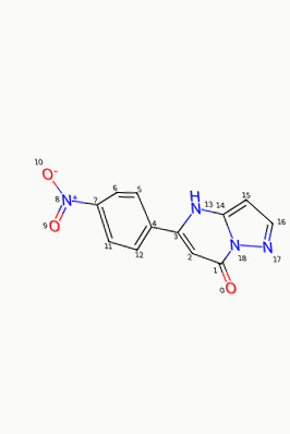 O=c1cc(-c2ccc([N+](=O)[O-])cc2)[nH]c2ccnn12